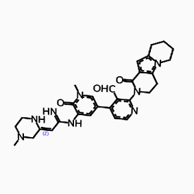 CN1CCN/C(=C\C(=N)Nc2cc(-c3ccnc(N4CCc5c(cc6n5CCCC6)C4=O)c3C=O)cn(C)c2=O)C1